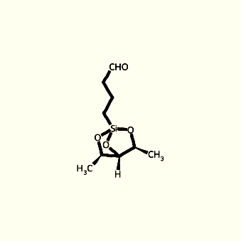 C[C@@H]1O[Si]2(CCCC=O)O[C@H]1[C@@H](C)O2